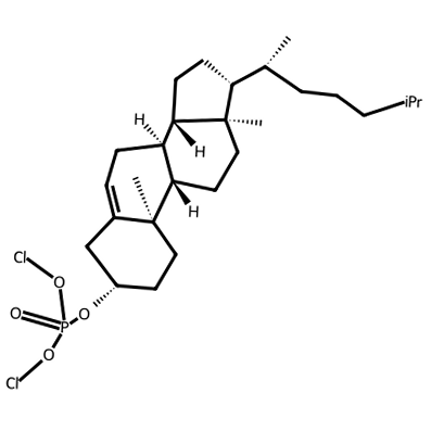 CC(C)CCC[C@@H](C)[C@H]1CC[C@H]2[C@@H]3CC=C4C[C@@H](OP(=O)(OCl)OCl)CC[C@]4(C)[C@H]3CC[C@]12C